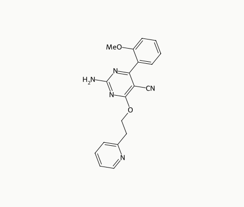 COc1ccccc1-c1nc(N)nc(OCCc2ccccn2)c1C#N